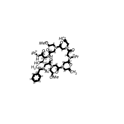 C#CCN(CC(=O)N(CCOC)CC(=O)N[C@@H](CO)C(=O)NC(C)C)C(=O)CN(CCC)C(=O)CN(CC=C)C(=O)CN(CCOC)C(=O)CN(C(C)=O)[C@@H](C)c1ccccc1